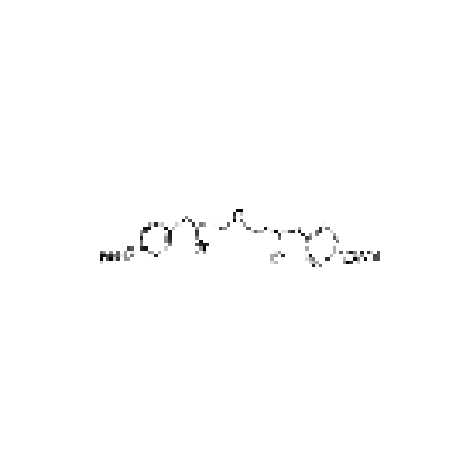 COc1ccc(CC(Br)CCOCCC(Br)Cc2ccc(OC)cc2)cc1